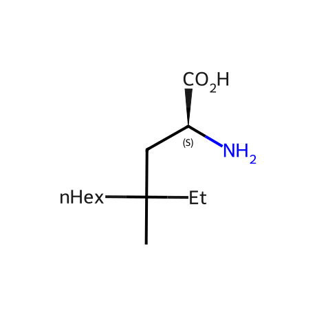 CCCCCCC(C)(CC)C[C@H](N)C(=O)O